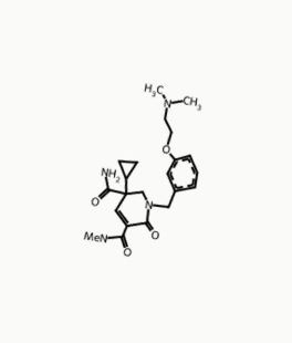 CNC(=O)C1=CC(C(N)=O)(C2CC2)CN(Cc2cccc(OCCN(C)C)c2)C1=O